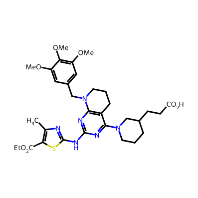 CCOC(=O)c1sc(Nc2nc3c(c(N4CCCC(CCC(=O)O)C4)n2)CCCN3Cc2cc(OC)c(OC)c(OC)c2)nc1C